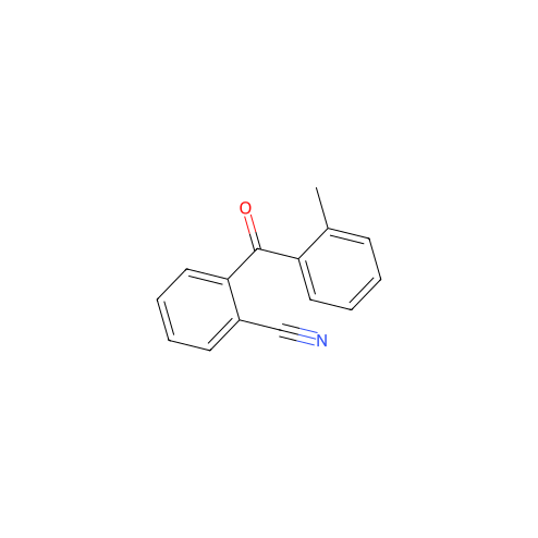 Cc1ccccc1C(=O)c1ccccc1C#N